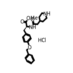 COC(=O)[C@H](Cc1ccc(OCc2ccccc2)cc1)NC(=O)CC1CCNCC1.Cl